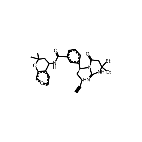 C#CCC[C@@H](c1cccc(C(=O)NC2CC(C)(C)Oc3ccccc32)c1)N1C(=N)NC(CC)(CC)CC1=O